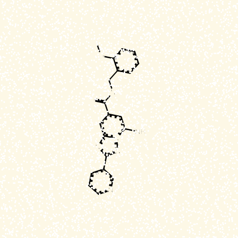 COc1ccccc1CNC(=O)c1cc(N)n2nc(-c3cccnc3)nc2c1